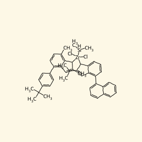 CC1=Cc2c(-c3ccc(C(C)(C)C)cc3)ccc(C)c2[CH]1[Zr]([Cl])([Cl])([CH]1C(C(C)C)=Cc2c(-c3cccc4ccccc34)cccc21)[SiH](C)C